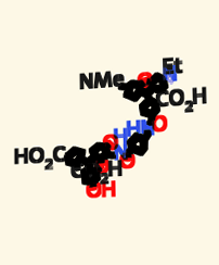 CC/N=c1/ccc2c(-c3ccc(C(=O)NCc4ccc(C(=O)NCc5c6oc7cc(O)ccc7c(-c7ccc(C(=O)O)cc7C(=O)O)c-6ccc5=O)cc4)cc3C(=O)O)c3ccc(CNC)cc3oc-2c1